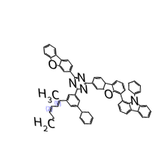 C=C/C=C\C=C(/C)c1cc(-c2nc(C3=CC4Oc5c(-c6cccc7c8ccccc8n(C8=CC=CCC8)c67)cccc5C4C=C3)nc(-c3ccc4c(c3)oc3ccccc34)n2)cc(C2C=CC=CC2)c1